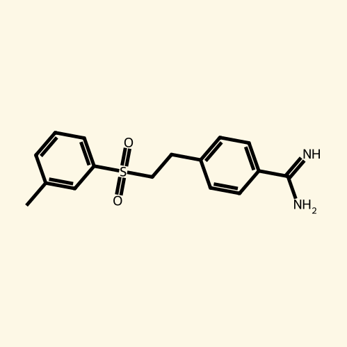 Cc1cccc(S(=O)(=O)CCc2ccc(C(=N)N)cc2)c1